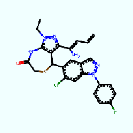 C=CC=C(N)c1nn(CC)c2c1C(c1cc3cnn(-c4ccc(F)cc4)c3cc1Cl)SCC(=O)N2